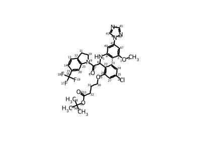 COc1cc(NC(C(=O)N2CCc3ccc(C(F)(F)F)cc32)c2ccc(Cl)cc2OCCCC(=O)OC(C)(C)C)cc(-n2cncn2)c1